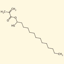 C=C(C)C(=O)OC(S)CCCCCCCCCCCCC